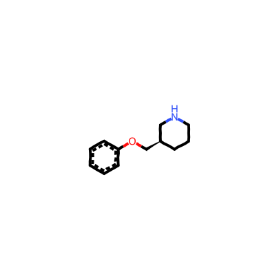 c1ccc(OC[C@@H]2CCCNC2)cc1